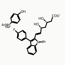 CC(=O)Nc1ccc(O)cc1.CC(C)n1c(/C=C/[C@@H](O)C[C@@H](O)CC(=O)[O-])c(-c2ccc(F)cc2)c2ccccc21.[Na+]